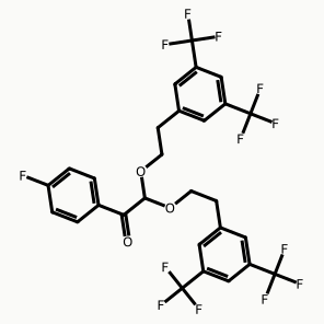 O=C(c1ccc(F)cc1)C(OCCc1cc(C(F)(F)F)cc(C(F)(F)F)c1)OCCc1cc(C(F)(F)F)cc(C(F)(F)F)c1